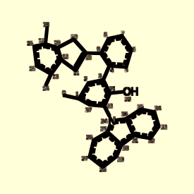 Cc1cc(-c2ccccc2C2=Cc3c(C)ccc(C)c3C2)c(O)c(-n2c3ccccc3c3ccccc32)c1